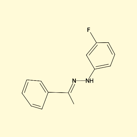 C/C(=N\Nc1cccc(F)c1)c1ccccc1